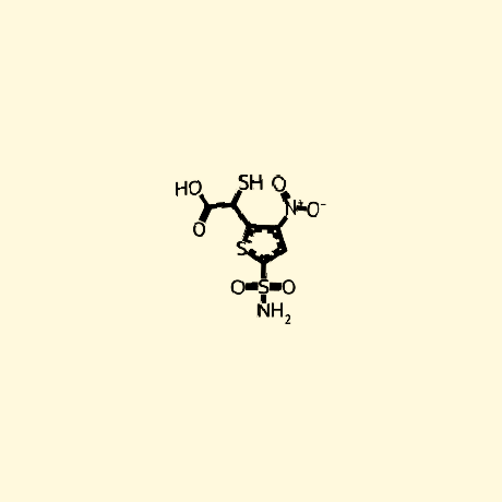 NS(=O)(=O)c1cc([N+](=O)[O-])c(C(S)C(=O)O)s1